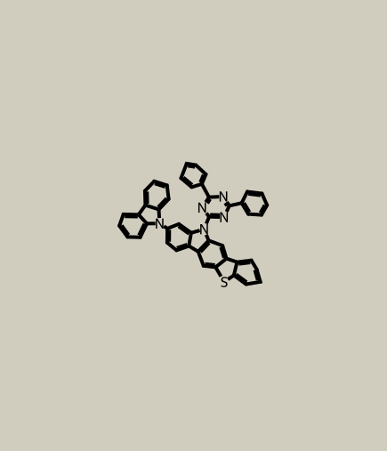 c1ccc(-c2nc(-c3ccccc3)nc(-n3c4cc(-n5c6ccccc6c6ccccc65)ccc4c4cc5sc6ccccc6c5cc43)n2)cc1